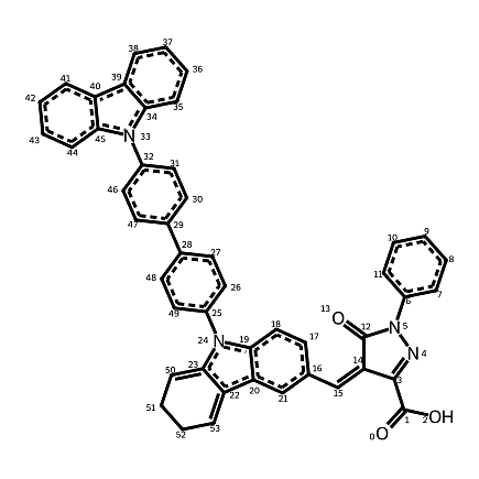 O=C(O)C1=NN(c2ccccc2)C(=O)/C1=C\c1ccc2c(c1)c1c(n2-c2ccc(-c3ccc(-n4c5ccccc5c5ccccc54)cc3)cc2)=CCCC=1